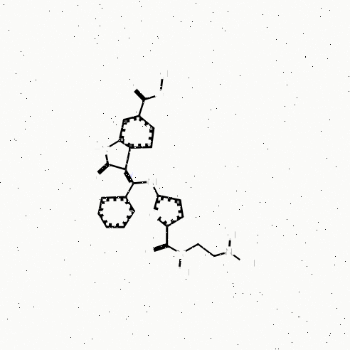 COC(=O)c1ccc2c(c1)NC(=O)/C2=C(/Nc1ccc(C(=O)N(C)CCN(C)C)o1)c1ccccc1